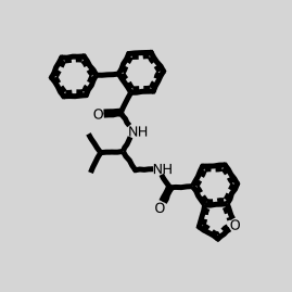 CC(C)C(CNC(=O)c1cccc2occc12)NC(=O)c1ccccc1-c1ccccc1